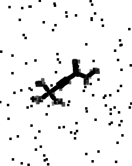 CCNC(=O)C#C[Si](C)(C)C(C)(C)C